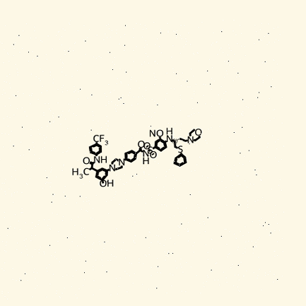 CC(C(=O)Nc1ccc(C(F)(F)F)cc1)c1cc(O)cc(N2CCN(c3ccc(C(=O)NS(=O)(=O)c4ccc(N[C@H](CCN5CCOCC5)CSc5ccccc5)c(N=O)c4)cc3)CC2)c1